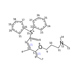 C=C(/C=C(C)\C(=C\C)OCCCN(C)C)[S+](c1ccccc1)c1ccccc1